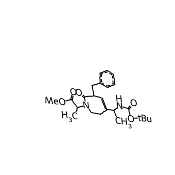 COC(=O)C(C)N1CCC(C(C)NC(=O)OC(C)(C)C)=CC(Cc2ccccc2)C1=O